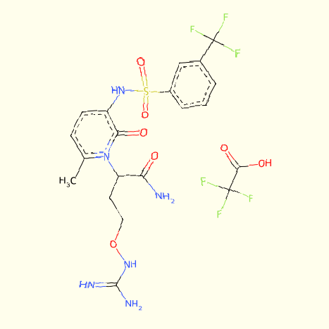 Cc1ccc(NS(=O)(=O)c2cccc(C(F)(F)F)c2)c(=O)n1C(CCONC(=N)N)C(N)=O.O=C(O)C(F)(F)F